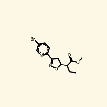 CCC(C(=O)OC)[C@@H]1CC(c2ccc(Br)cn2)=NO1